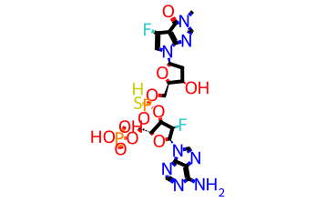 Cn1cnc2c(c(F)cn2[C@H]2C[C@H](O)[C@@H](COP(=O)(S)OC3[C@@H](F)[C@H](n4cnc5c(N)ncnc54)O[C@@H]3COP(=O)(O)O)O2)c1=O